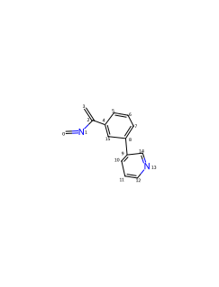 C=NC(=C)c1cccc(-c2cccnc2)c1